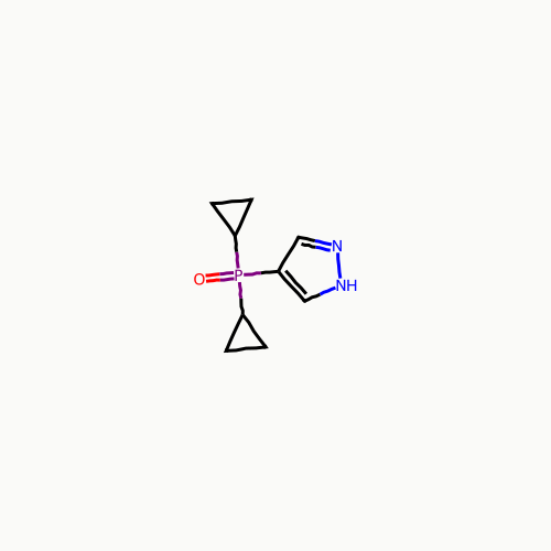 O=P(c1cn[nH]c1)(C1CC1)C1CC1